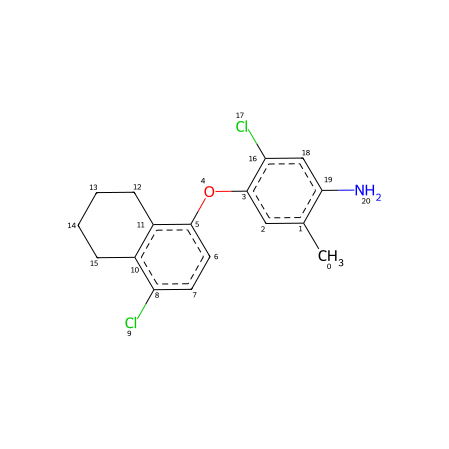 Cc1cc(Oc2ccc(Cl)c3c2CCCC3)c(Cl)cc1N